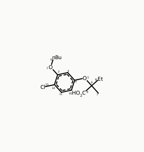 CCCCOc1cc(OC(C)(CC)C(=O)O)ccc1Cl